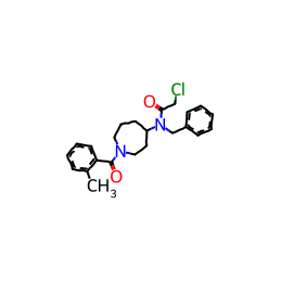 Cc1ccccc1C(=O)N1CCCC(N(Cc2ccccc2)C(=O)CCl)CC1